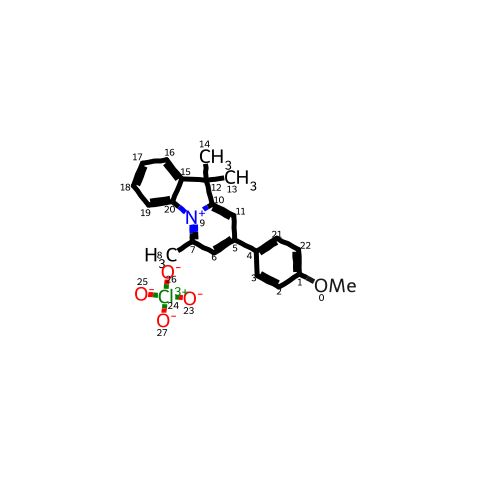 COc1ccc(-c2cc(C)[n+]3c(c2)C(C)(C)c2ccccc2-3)cc1.[O-][Cl+3]([O-])([O-])[O-]